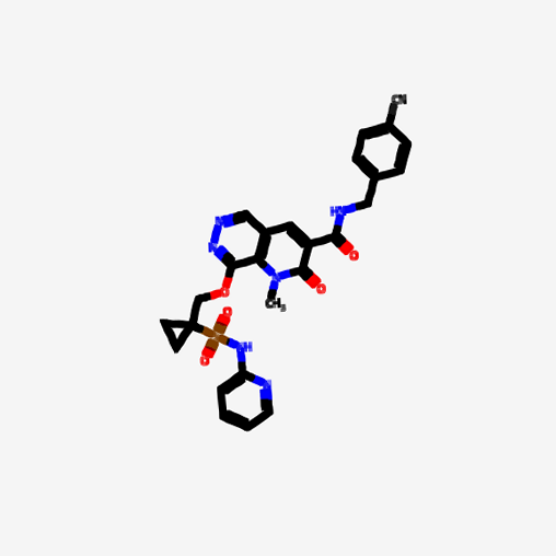 Cn1c(=O)c(C(=O)NCc2ccc(C#N)cc2)cc2cnnc(OCC3(S(=O)(=O)Nc4ccccn4)CC3)c21